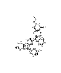 CCOc1cc(F)c(Cn2nc(-c3ncc(C4CCNCC4)c(Nc4ccnc(C)n4)n3)c3ccccc32)c(F)c1